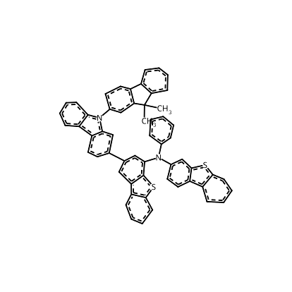 CC1(C)c2ccccc2-c2ccc(-n3c4ccccc4c4ccc(-c5cc(N(c6ccccc6)c6ccc7c(c6)sc6ccccc67)c6sc7ccccc7c6c5)cc43)cc21